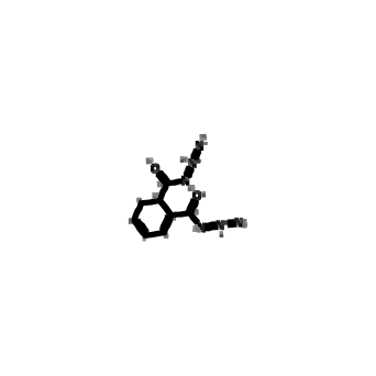 [N-]=[N+]=NC(=O)C1=CC=CCC1C(=O)N=[N+]=[N-]